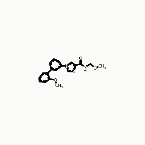 COCNC(=O)c1cn(-c2cccc(-c3ccccc3OC)c2)cn1